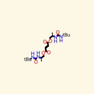 C[C@H](COC(=O)/C=C/C(=O)OC[C@@H](C)NC(=O)NC(C)(C)C)NC(=O)NC(C)(C)C